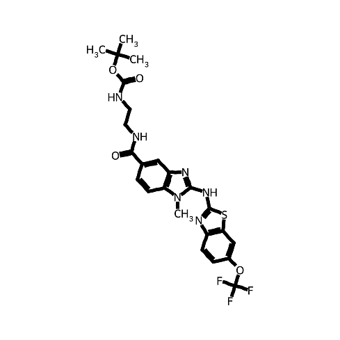 Cn1c(Nc2nc3ccc(OC(F)(F)F)cc3s2)nc2cc(C(=O)NCCNC(=O)OC(C)(C)C)ccc21